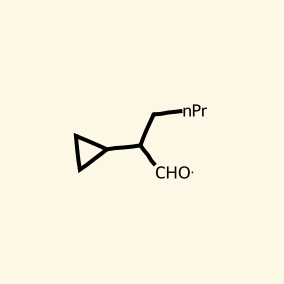 CCCCC([C]=O)C1CC1